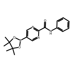 CC1(C)OB(c2cnc(C(=O)Nc3ccccc3)nc2)OC1(C)C